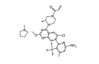 C=CC(=O)N1CCN(c2nc(OC[C@@H]3CCCN3C)nc3cc(-c4nc(N)cc(C)c4C(F)(F)F)c(Cl)cc23)[C@@H](C)C1